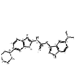 CN(C)c1ccc2[nH]cc(CC(=O)Nc3nc4ccc(N5CCOCC5)cc4s3)c2c1